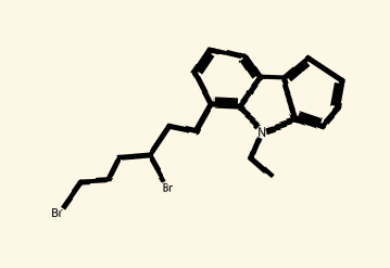 CCn1c2ccccc2c2cccc(CCC(Br)CCCBr)c21